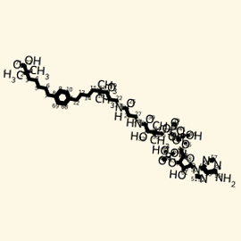 CC(C)(CCCCCc1ccc(CCCCC(C)(C)C(=O)CCNC(=O)CCNC(=O)C(O)C(C)(C)COP(=O)(O)OP(=O)(O)OCC2OC(n3cnc4c(N)ncnc43)C(O)C2OP(=O)(O)O)cc1)C(=O)O